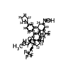 COCC(=O)[C@@]1(C#CC(F)(F)F)CC[C@H]2[C@@H]3CC(F)C4=CC(=NO)CCC4=C3[C@@H](c3ccc(N4CCCC4)cc3)C[C@@]21C